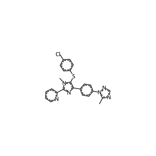 Cc1ncnn1-c1ccc(-c2nc(-c3ccccn3)n(C)c2Sc2ccc(Cl)cc2)cc1